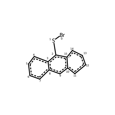 BrSc1c2ccccc2cc2ccccc12